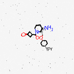 CC(C)[C@H]1CC[C@@H](OC[C@H]2[C@@H](N)CCCN2C(=O)C2CC(=O)C2)CC1